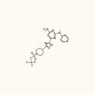 CN(c1ccccc1)c1nc(N)nc(-c2noc(C3CCN(S(=O)(=O)CC(F)(F)F)CC3)n2)n1